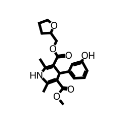 COC(=O)C1=C(C)NC(C)=C(C(=O)OCC2CCCO2)C1c1cccc(O)c1